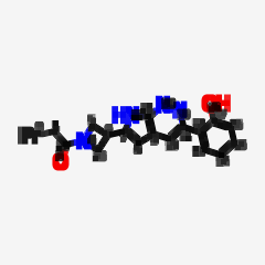 CC(C)CC(=O)N1CC(c2cc3cc(-c4ccccc4O)nnc3[nH]2)C1